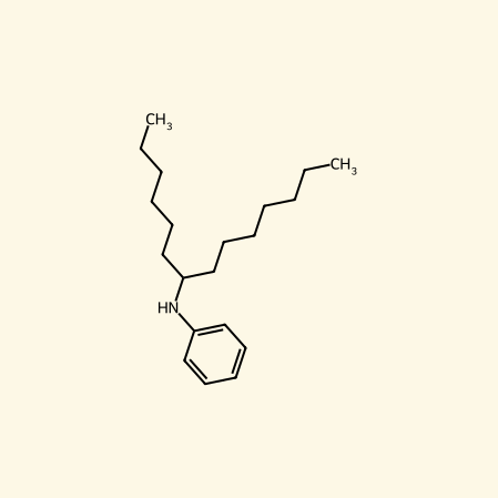 CCCCCCCC(CCCCCC)Nc1ccccc1